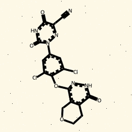 N#Cc1nn(-c2cc(Cl)c(Oc3n[nH]c(=O)c4c3COCC4)c(Cl)c2)c(=O)[nH]c1=O